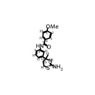 COc1ccc(C(=O)Nc2cccc(C3(C)CCSC(N)=N3)c2)cc1